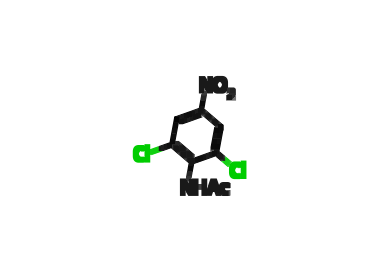 CC(=O)Nc1c(Cl)cc([N+](=O)[O-])cc1Cl